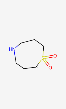 O=S1(=O)[CH]CCNCCC1